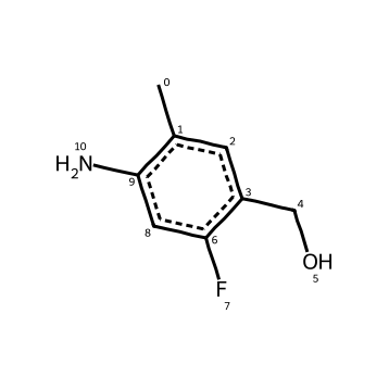 Cc1cc(CO)c(F)cc1N